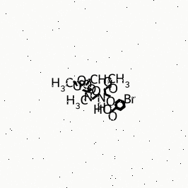 CCOP(=O)(CC(=O)N(C)CC(=O)NC(COc1cc(Br)ccc1C(=O)O)CC(=O)OC)OCC